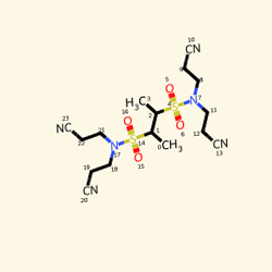 CC(C(C)S(=O)(=O)N(CCC#N)CCC#N)S(=O)(=O)N(CCC#N)CCC#N